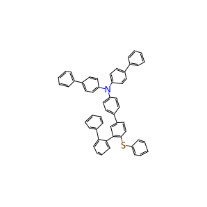 c1ccc(Sc2ccc(-c3ccc(N(c4ccc(-c5ccccc5)cc4)c4ccc(-c5ccccc5)cc4)cc3)cc2-c2ccccc2-c2ccccc2)cc1